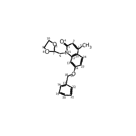 Cc1cc(=O)n(CC2OCCO2)c2cc(OCc3ccccc3)ccc12